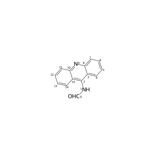 O=CNc1c2ccccc2nc2ccccc12